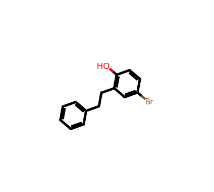 Oc1ccc(Br)cc1CCc1ccccc1